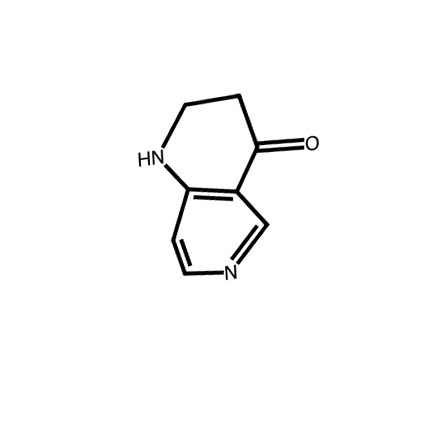 O=C1CCNc2ccncc21